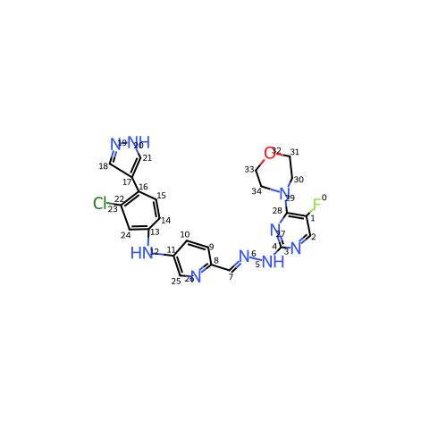 Fc1cnc(N/N=C/c2ccc(Nc3ccc(-c4cn[nH]c4)c(Cl)c3)cn2)nc1N1CCOCC1